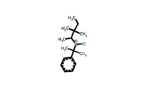 CCC(C)(C)C(C)[SiH](Cl)C(C)(C)c1ccccc1